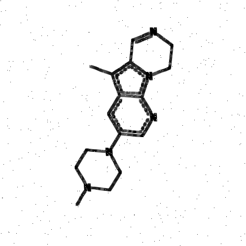 Cc1c2n(c3ncc(N4CCN(C)CC4)cc13)CCN=C2